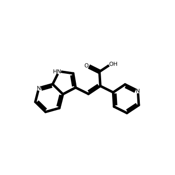 O=C(O)C(=Cc1c[nH]c2ncccc12)c1cccnc1